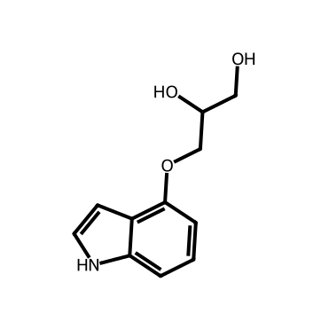 OCC(O)COc1cccc2[nH]ccc12